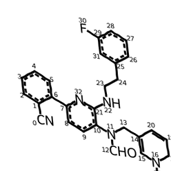 N#Cc1ccccc1-c1ccc(N(C=O)CC2=CN(O)CC=C2)c(NCCc2cccc(F)c2)n1